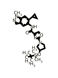 Cn1ncc2cc(NC(=O)c3coc(N4CCC(O[Si](C)(C)C(C)(C)C)C4)n3)c(C3CC3)cc21